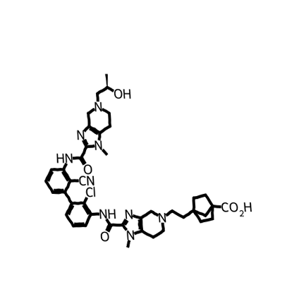 C[C@@H](O)CN1CCc2c(nc(C(=O)Nc3cccc(-c4cccc(NC(=O)c5nc6c(n5C)CCN(CCC57CCC(C(=O)O)(CC5)C7)C6)c4Cl)c3C#N)n2C)C1